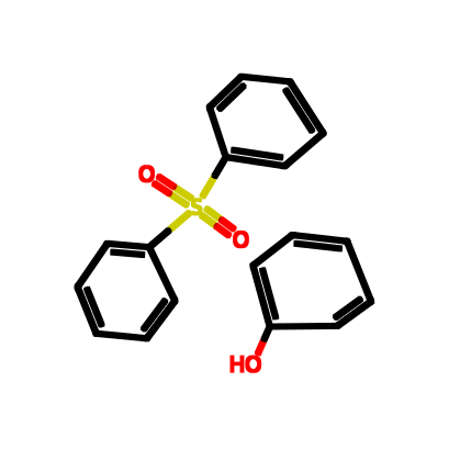 O=S(=O)(c1ccccc1)c1ccccc1.Oc1ccccc1